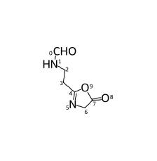 O=CNCCC1=NCC(=O)O1